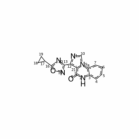 O=c1[nH]c2ccccc2n2cnc(-c3noc(C4CC4)n3)c12